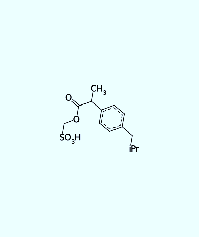 CC(C)Cc1ccc(C(C)C(=O)OCS(=O)(=O)O)cc1